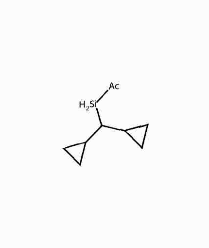 CC(=O)[SiH2]C(C1CC1)C1CC1